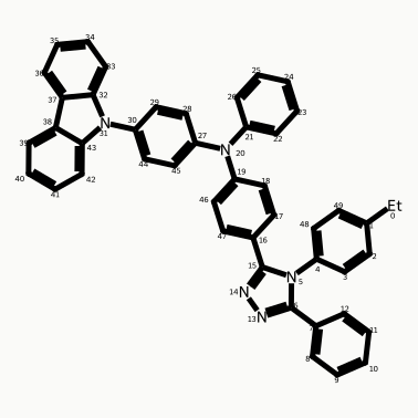 CCc1ccc(-n2c(-c3ccccc3)nnc2-c2ccc(N(c3ccccc3)c3ccc(-n4c5ccccc5c5ccccc54)cc3)cc2)cc1